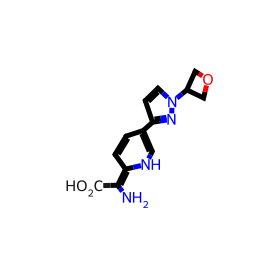 N/C(C(=O)O)=C1/C=CC(c2ccn(C3COC3)n2)=CN1